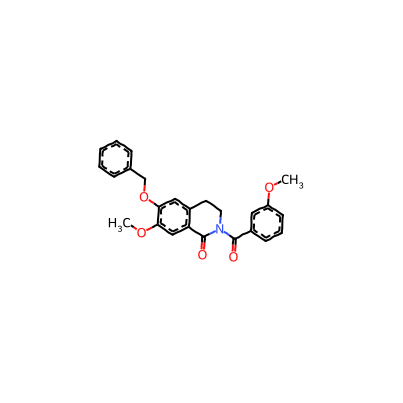 COc1cccc(C(=O)N2CCc3cc(OCc4ccccc4)c(OC)cc3C2=O)c1